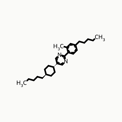 CCCCCc1ccc(-c2ncc([C@H]3CC[C@H](CCCCC)CC3)cn2)c(C)c1